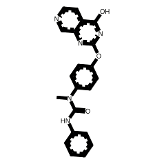 CN(C(=O)Nc1ccccc1)c1ccc(Oc2nc(O)c3ccncc3n2)cc1